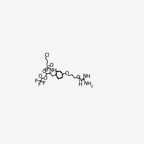 N=C(N)NOCCCOc1ccc(C[C@H](NS(=O)(=O)CCCCl)C(=O)OC(=O)C(F)(F)F)cc1